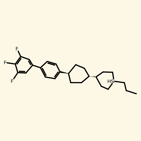 CCC[SiH]1CCC([C@H]2CC[C@H](c3ccc(-c4cc(F)c(F)c(F)c4)cc3)CC2)CC1